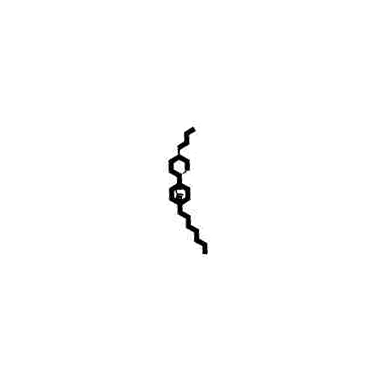 CCCCCCCC12CCC([C@H]3CC[C@H](CCCC)CC3)(CC1)CC2